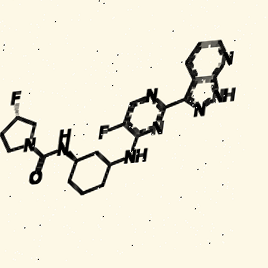 O=C(N[C@@H]1CCCC(Nc2nc(-c3n[nH]c4ncccc34)ncc2F)C1)N1CC[C@H](F)C1